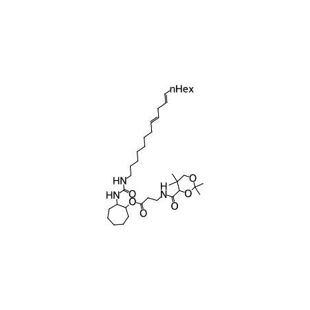 CCCCCCC=CCC=CCCCCCCCNC(=O)NC1CCCCCC1OC(=O)CCNC(=O)C1OC(C)(C)OCC1(C)C